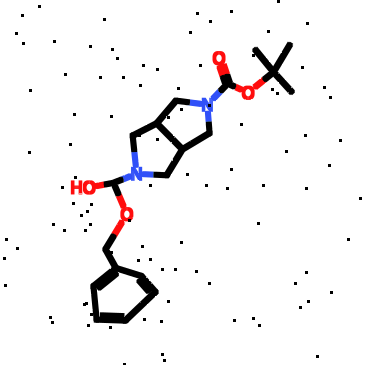 CC(C)(C)OC(=O)N1CC2CN(C(O)OCc3ccccc3)CC2C1